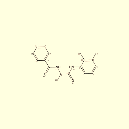 Cc1cccc(NC(=O)C(C)NC(=O)c2ccccc2)c1C